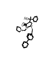 CC(O)(c1ccccc1)C1C[C@@H](Cc2ccc(-c3ccccc3)cc2)N(CN2CCCC2)C1=O